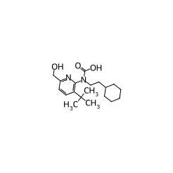 CC(C)(C)c1ccc(CO)nc1N(CCC1CCCCC1)C(=O)O